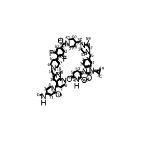 CNc1ccn(-c2ccnc3c2cc(CN2CC=C(c4c(F)cc(C(=O)N5CCC(CN6CCN(Cc7ccc8c(c7)n(C7CC7)c(=O)n8[C@H]7CCC(=O)NC7=O)C[C@@H]6C)CC5)cc4F)CC2)n3C)c(=O)c1